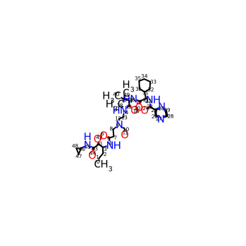 CCCC(NC(=O)CCN(C=O)CCNC(=O)C(NC(=O)[C@@H](NC(=O)c1cnccn1)C1CCCCC1)C(C)(C)C)C(=O)C(=O)NC1CC1